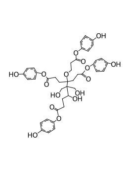 O=C(CCOC(CCC(=O)Oc1ccc(O)cc1)(CCC(=O)Oc1ccc(O)cc1)C(CO)(CO)C(O)CCC(=O)Oc1ccc(O)cc1)Oc1ccc(O)cc1